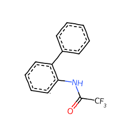 O=C(Nc1[c]cccc1-c1ccccc1)C(F)(F)F